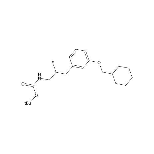 CC(C)(C)OC(=O)NCC(F)Cc1cccc(OCC2CCCCC2)c1